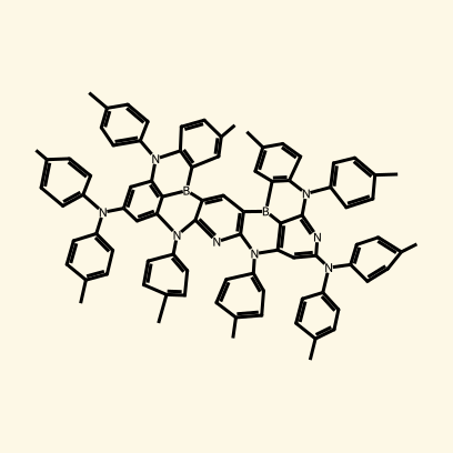 Cc1ccc(N(c2ccc(C)cc2)c2cc3c4c(c2)N(c2ccc(C)cc2)c2nc5c(cc2B4c2cc(C)ccc2N3c2ccc(C)cc2)B2c3cc(C)ccc3N(c3ccc(C)cc3)c3nc(N(c4ccc(C)cc4)c4ccc(C)cc4)cc(c32)N5c2ccc(C)cc2)cc1